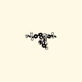 CCOC(=O)c1ccc(NC(=O)[C@@H]2c3cccc(-c4ccc(C(=O)NCCN(C)C)cc4)c3CCN2C(=O)/C=C/c2c(-n3cnnn3)ccc(Cl)c2F)nc1